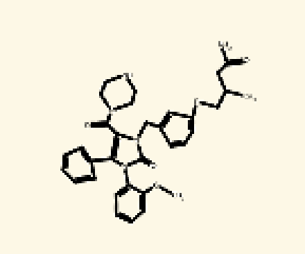 COc1ccccc1-n1c(-c2ccccc2)c(C(=O)N2CCNCC2)n(Cc2cccc(OCC(C)CC(N)=O)c2)c1=O